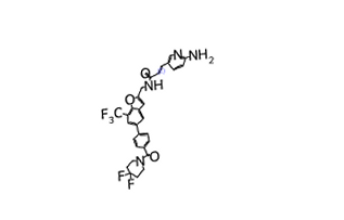 Nc1ccc(/C=C/C(=O)NCc2cc3cc(-c4ccc(C(=O)N5CCC(F)(F)CC5)cc4)cc(C(F)(F)F)c3o2)cn1